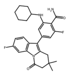 CC1(C)CC(=O)n2c(c(-c3cc(F)c(C(N)=O)c(NC4CCCCC4)c3)c3ccc(F)cc32)C1